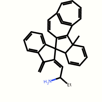 C=C1/C(=C\C(N)CC)C2(C3=C(C4=C=C(C=CC=C4)C=C3)C3(C)C=CC=CC32)c2ccccc21